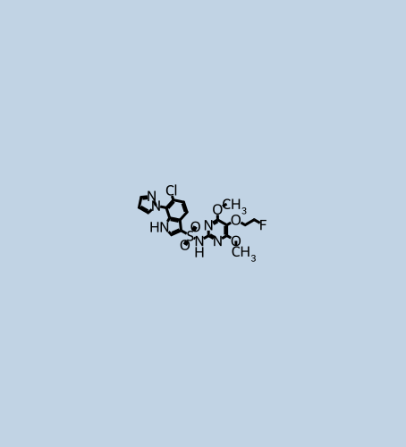 COc1nc(NS(=O)(=O)c2c[nH]c3c(-n4cccn4)c(Cl)ccc23)nc(OC)c1OCCF